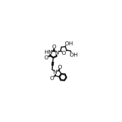 O=C1c2ccccc2C(=O)N1CC#Cc1cn(C2CC(O)C(CO)O2)c(=O)[nH]c1=O